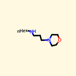 CCCCCCNCCCN1CCOCC1